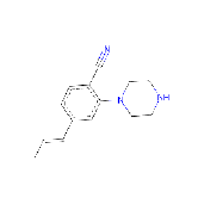 C/C=C/c1ccc(C#N)c(N2CCNCC2)c1